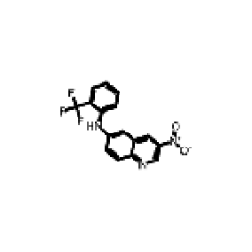 O=[N+]([O-])c1cnc2ccc(Nc3ccccc3C(F)(F)F)cc2c1